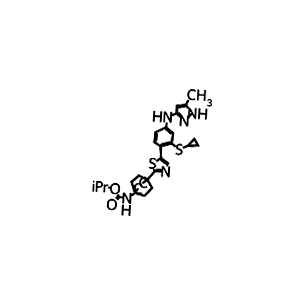 Cc1cc(Nc2ccc(-c3cnc(C45CCC(NC(=O)OC(C)C)(CC4)CC5)s3)c(SC3CC3)c2)n[nH]1